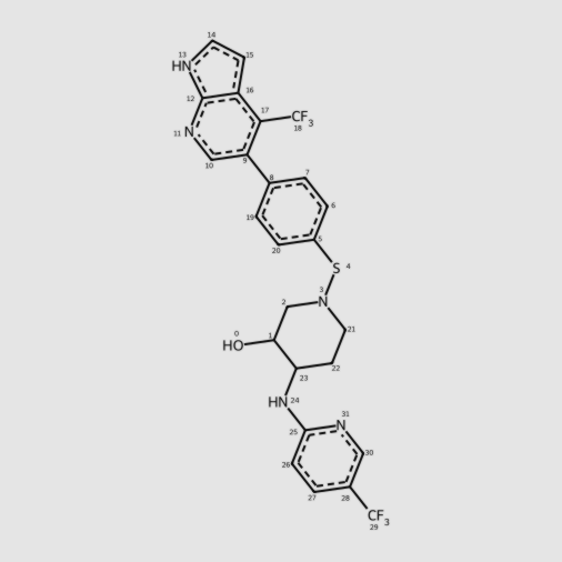 OC1CN(Sc2ccc(-c3cnc4[nH]ccc4c3C(F)(F)F)cc2)CCC1Nc1ccc(C(F)(F)F)cn1